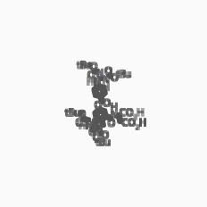 CC(C)(C)OC(=O)CNS(=O)(=O)N(Cc1ccc(OC(=O)c2ccc(N/C(=N\C(=O)OC(C)(C)C)NC(=O)OC(C)(C)C)cc2)cc1C(=O)NC(CC(=O)O)C(=O)O)C(=O)OC(C)(C)C